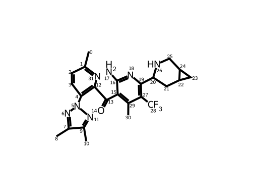 Cc1ccc(-n2nc(C)c(C)n2)c(C(=O)c2c(N)nc(C3CC4CC4CN3)c(C(F)(F)F)c2C)n1